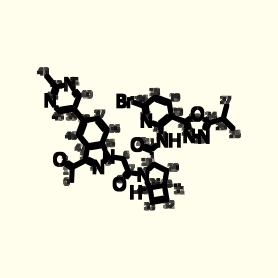 CC(=O)c1nn(CC(=O)N2[C@H](C(=O)Nc3nc(Br)ccc3-c3nnc(C(C)C)o3)C[C@@]3(C)C=C[C@@H]23)c2ccc(-c3cnc(C)nc3)cc12